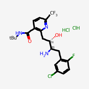 CC(C)(C)NC(=O)c1ccc(C(F)(F)F)nc1C[C@H](O)[C@H](N)Cc1cc(Cl)ccc1F.Cl.Cl